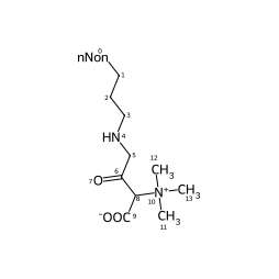 CCCCCCCCCCCCNCC(=O)C(C(=O)[O-])[N+](C)(C)C